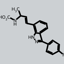 CC(C=Cc1cccc2c(-c3ccc(F)cc3)n[nH]c12)NC(=O)O